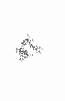 CC(C)OC(=O)CCNC(=O)[C@@H]1OP(=O)(OC[C@H]2O[C@@](C#N)(c3cnc4c(O)nc(N)nn34)C(F)(Br)[C@H]2O)OCC1(C)C